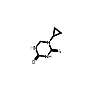 O=C1NCN(C2CC2)C(=S)N1